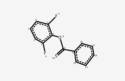 Fc1cccc(F)c1OC(=S)c1ccccc1